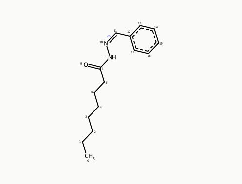 CCCCCCCC(=O)N/N=C\c1ccccc1